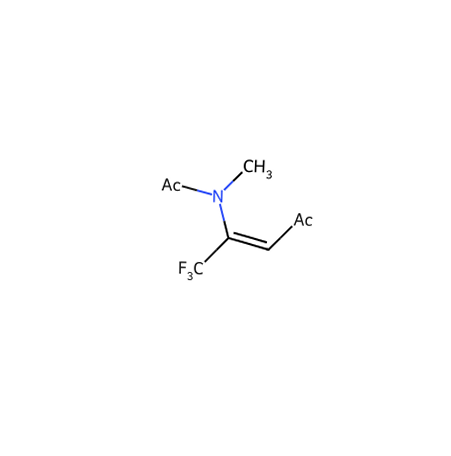 CC(=O)/C=C(\N(C)C(C)=O)C(F)(F)F